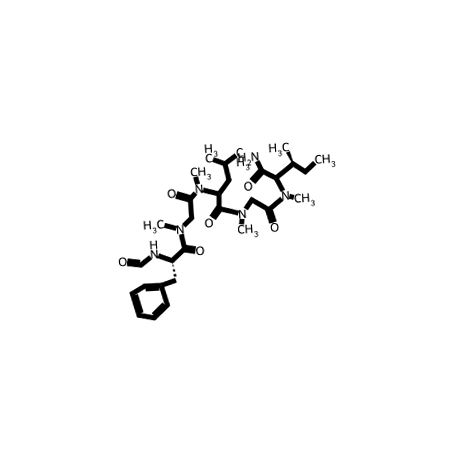 CC[C@H](C)C(C(N)=O)N(C)C(=O)CN(C)C(=O)C(CC(C)C)N(C)C(=O)CN(C)C(=O)[C@H](Cc1ccccc1)NC=O